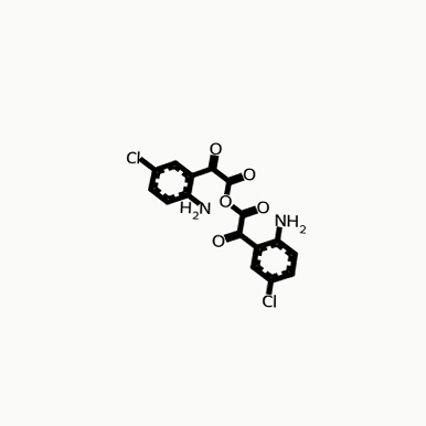 Nc1ccc(Cl)cc1C(=O)C(=O)OC(=O)C(=O)c1cc(Cl)ccc1N